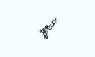 O=C(COc1ccc(F)cc1)CN1CCC(O)(c2ccc(Cl)cc2)CC1